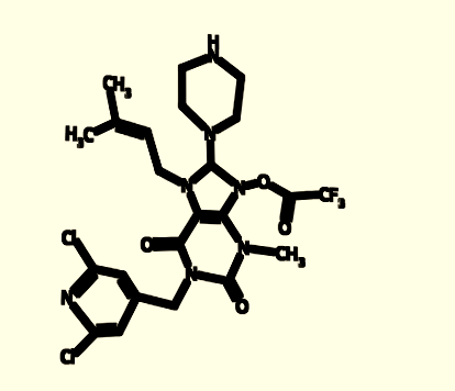 CC(C)=CCN1c2c(n(C)c(=O)n(Cc3cc(Cl)nc(Cl)c3)c2=O)N(OC(=O)C(F)(F)F)C1N1CCNCC1